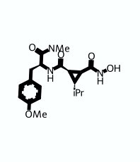 CNC(=O)[C@H](Cc1ccc(OC)cc1)NC(=O)[C@H]1C(C(=O)NO)[C@@H]1C(C)C